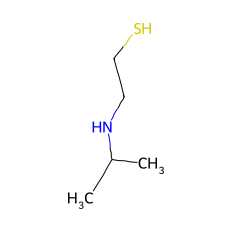 CC(C)NCCS